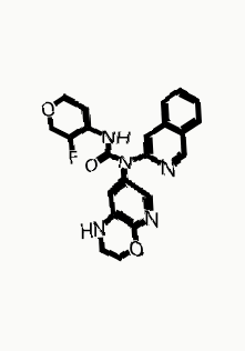 O=C(NC1CCOCC1F)N(c1cnc2c(c1)NCCO2)c1cc2ccccc2cn1